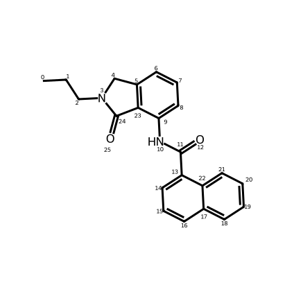 CCCN1Cc2cccc(NC(=O)c3cccc4ccccc34)c2C1=O